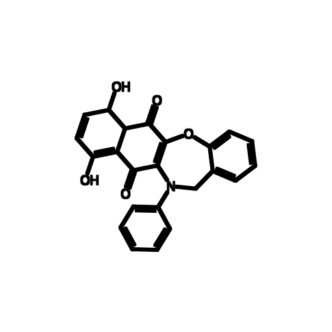 O=C1C2=C(O)C=CC(O)C2C(=O)C2=C1N(c1ccccc1)Cc1ccccc1O2